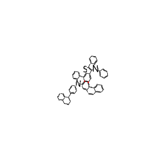 c1ccc(-n2c3ccccc3c3sc4c(-c5ccccc5N(c5ccc(-c6cccc7ccccc67)cc5)c5ccc6c(ccc7ccccc76)c5)cccc4c32)cc1